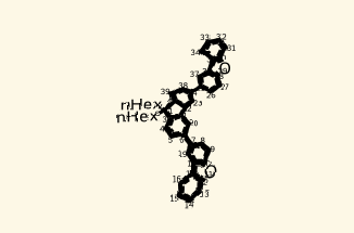 CCCCCCC1(CCCCCC)c2ccc(-c3ccc4oc5ccccc5c4c3)cc2-c2cc(-c3ccc4oc5ccccc5c4c3)ccc21